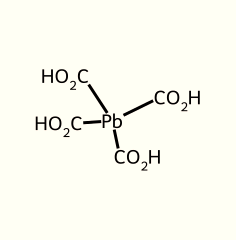 O=[C](O)[Pb]([C](=O)O)([C](=O)O)[C](=O)O